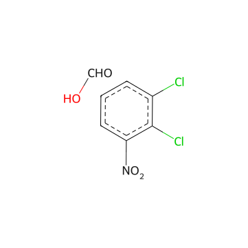 O=CO.O=[N+]([O-])c1cccc(Cl)c1Cl